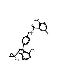 COc1ccc(F)cc1C(=O)NCc1ccc(-c2nc(C3(C)CC3)n3ncnc(N)c23)cc1